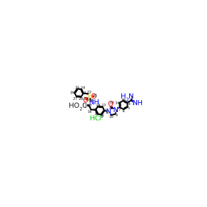 Cl.N=C(N)c1ccc(N2CCN(c3ccc(CC(NS(=O)(=O)Cc4ccccc4)C(=O)O)cc3)C2=O)cc1